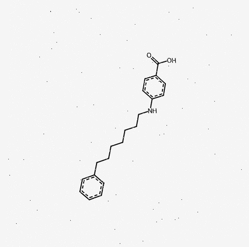 O=C(O)c1ccc(NCCCCCCCc2ccccc2)cc1